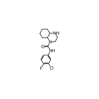 O=C(Nc1ccc(F)c(Cl)c1)N1CCNC2CCCCC21